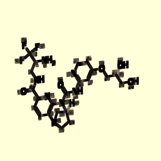 NC(CNC(=O)c1ccc2c(n1)N(C(=O)Nc1cc(OC[C@H](O)CO)ccn1)[C@H]1CCN2C1)C(F)(F)F